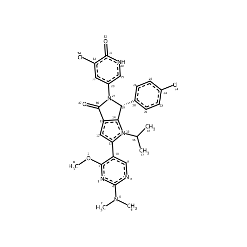 COc1nc(N(C)C)ncc1-c1cc2c(n1C(C)C)[C@@H](c1ccc(Cl)cc1)N(c1c[nH]c(=O)c(Cl)c1)C2=O